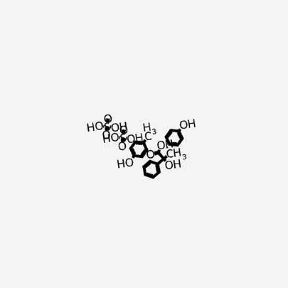 CC(O)(C(=O)O)c1ccccc1.Cc1ccc(O)cc1.O=S(=O)(O)O.O=S(=O)(O)O.Oc1ccccc1